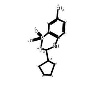 Cc1ccc2c(c1)S(=O)(=O)NC(C1CCCC1)N2